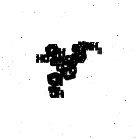 CC(C)(O)c1cccc(N2CCO[C@H](C(O)(CNC(=O)c3ccccc3O)Cc3ccc4c(N)noc4c3)C2=O)n1